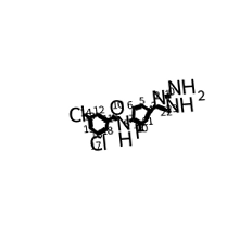 Nc1nc(-c2ccc(NC(=O)c3cc(Cl)cc(Cl)c3)c(F)c2)c[nH]1